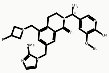 CCOc1cc([C@H](C)N2CCc3c(CN4CC(F)C4)cc(Cn4ccnc4NC)cc3C2=O)cnc1C#N